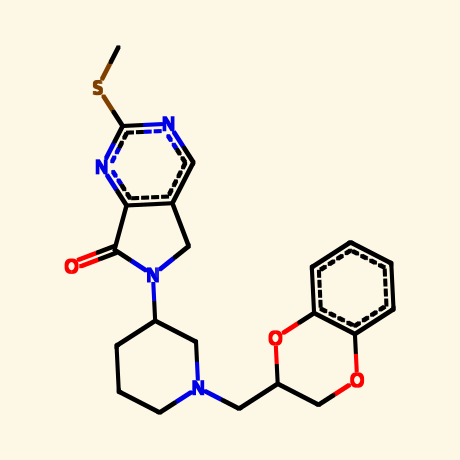 CSc1ncc2c(n1)C(=O)N(C1CCCN(CC3COc4ccccc4O3)C1)C2